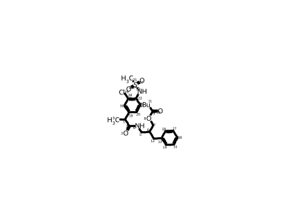 CC(C(=O)NCC(COC(=O)C(C)(C)C)Cc1ccccc1)c1ccc(NS(C)(=O)=O)c(Cl)c1